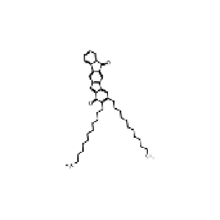 CCCCCCCCCCCCc1cc2c3cc4c(=O)c5ccccc5c4cc3cc-2c(=O)c1CCCCCCCCCCCC